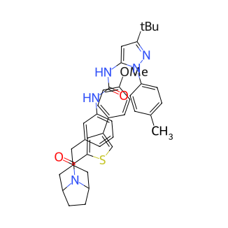 COc1ccc(-c2csc(C(=O)N3C4CCC3CC(Cc3cccc(NC(=O)Nc5cc(C(C)(C)C)nn5-c5ccc(C)cc5)c3)C4)c2)cc1